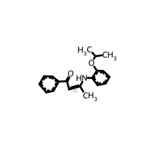 C/C(=C/C(=O)c1ccccc1)Nc1ccccc1OC(C)C